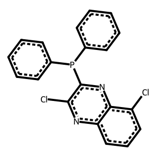 Clc1nc2cccc(Cl)c2nc1P(c1ccccc1)c1ccccc1